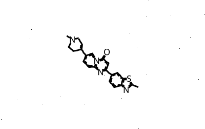 Cc1nc2ccc(-c3cc(=O)n4cc(C5=CCN(C)CC5)ccc4n3)cc2s1